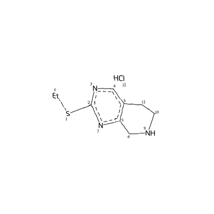 CCSc1ncc2c(n1)CNCC2.Cl